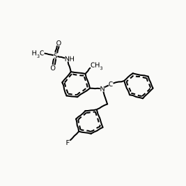 Cc1c(NS(C)(=O)=O)cccc1N(Cc1ccccc1)Cc1ccc(F)cc1